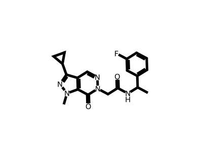 CC(NC(=O)Cn1ncc2c(C3CC3)nn(C)c2c1=O)c1cccc(F)c1